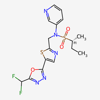 CC[C@@H](C)S(=O)(=O)N(Cc1ncc(-c2nnc(C(F)F)o2)s1)c1cccnc1